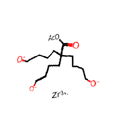 CC(=O)OC(=O)C(CCCC[O-])(CCCC[O-])CCCC[O-].[Zr+3]